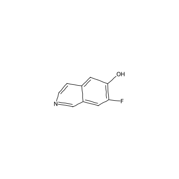 Oc1cc2ccncc2cc1F